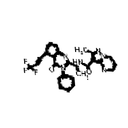 Cc1nn2cccnc2c1C(=O)NC(C)c1nc2cccc(C#CC(F)(F)F)c2c(=O)n1-c1ccccc1